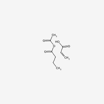 C=CC(=O)O.CCCC(=O)OC(C)=O